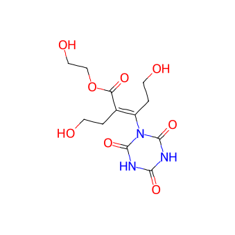 O=C(OCCO)C(CCO)=C(CCO)n1c(=O)[nH]c(=O)[nH]c1=O